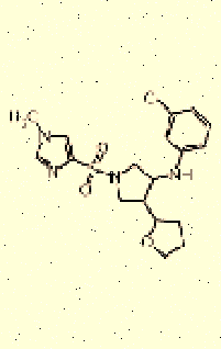 Cn1cnc(S(=O)(=O)N2CC(Nc3cccc(Cl)c3)C(C3CCCO3)C2)c1